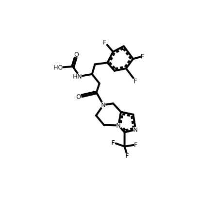 O=C(O)NC(CC(=O)N1CCn2c(cnc2C(F)(F)F)C1)Cc1cc(F)c(F)cc1F